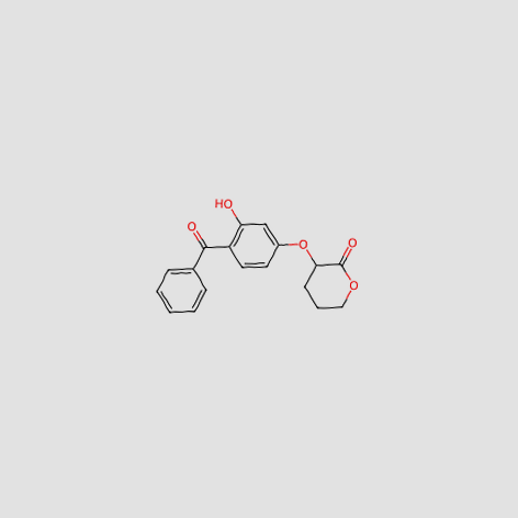 O=C(c1ccccc1)c1ccc(OC2CCCOC2=O)cc1O